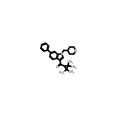 CC1(C)C(C(=O)c2cn(CC3CCOCC3)c3cc(-c4ccccc4)ccc23)C1(C)C